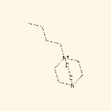 CCCC[N+]12CCN(CC1)CC2